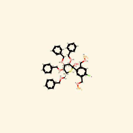 OC1(c2cc(COP)c(F)cc2COP)S[C@H](COCc2ccccc2)[C@@H](OCc2ccccc2)[C@H](OCc2ccccc2)[C@H]1OCc1ccccc1